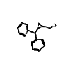 [O]CC1CC1C(c1ccccc1)c1ccccc1